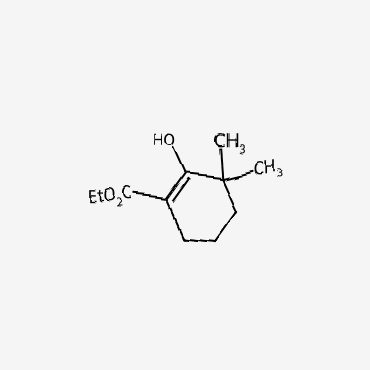 CCOC(=O)C1=C(O)C(C)(C)CCC1